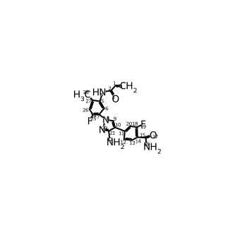 C=CC(=O)Nc1cc(-n2cc(-c3ccc(C(N)=O)c(F)c3)c(N)n2)c(F)cc1C